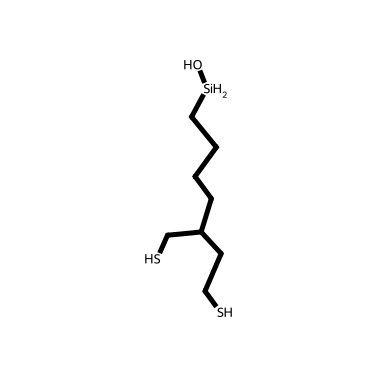 O[SiH2]CCCCC(CS)CCS